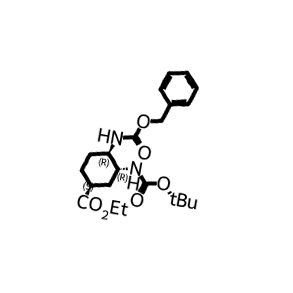 CCOC(=O)[C@H]1CC[C@@H](NC(=O)OCc2ccccc2)[C@H](NC(=O)OC(C)(C)C)C1